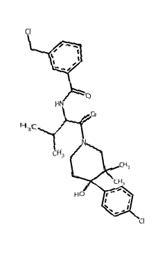 CC(C)C(NC(=O)c1cccc(CCl)c1)C(=O)N1CCC(O)(c2ccc(Cl)cc2)C(C)(C)C1